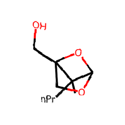 CCCC1(C)C2OCC1(CO)O2